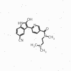 CN(C)CCN(C)C(=O)c1ccc(-c2c(O)[nH]c3ccc(C#N)cc23)nc1